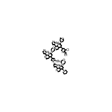 CC(C)(C)n1cc(-c2cc(N3CCOCC3)nc3c(-c4ccn[nH]4)nccc23)cn1.CCOc1ncc(-c2cc(N3CCOCC3)nc3c(-c4ccn[nH]4)nccc23)cc1Cl.c1cc(-c2nccc3c(N4CCCCC4)cc(N4CCOCC4)nc23)[nH]n1